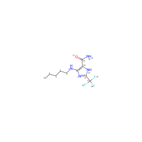 CCCCCNc1nc(C(F)(F)F)[nH]c1C(N)=O